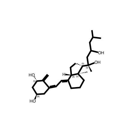 C=C1C(=CC=C2CCC[C@@]3(C)[C@H]2CC[C@@H]3[C@@](C)(O)CC(O)CC(C)C)C[C@@H](O)C[C@@H]1O